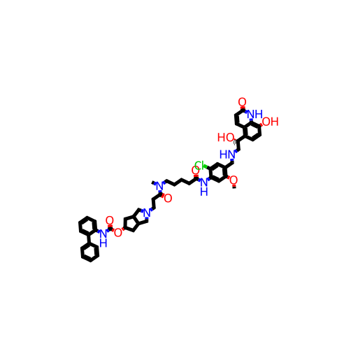 COc1cc(NC(=O)CCCCN(C)C(=O)CCN2CC3CC(OC(=O)Nc4ccccc4-c4ccccc4)CC3C2)c(Cl)cc1CNC[C@H](O)c1ccc(O)c2[nH]c(=O)ccc12